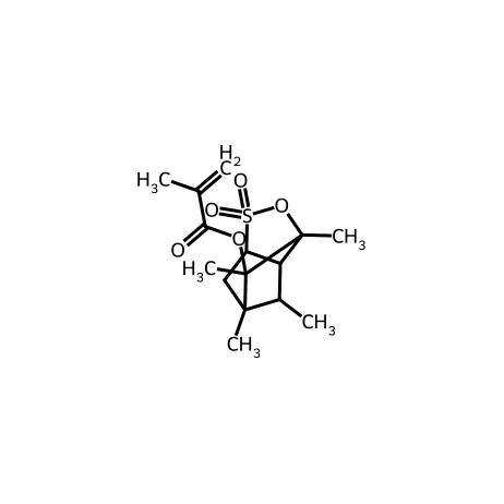 C=C(C)C(=O)OC1(C)C2(C)CC3C(C2C)C1(C)OS3(=O)=O